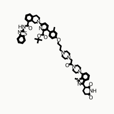 Cc1cc(OCCCN2CCN(CC(=O)N3CCN(c4cccc5c(C6CCC(=O)NC6=O)nn(C)c45)CC3)CC2)ccc1-c1ccc(N2CCc3cccc(C(=O)Nc4nc5ccccc5s4)c3C2)nc1C(=O)OC(C)(C)C